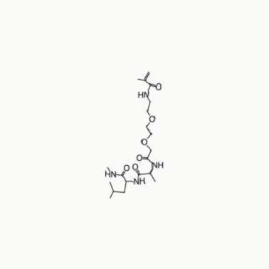 C=C(C)C(=O)NCCOCCOCC(=O)NC(C)C(=O)NC(CC(C)C)C(=O)NC